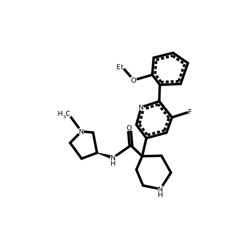 CCOc1ccccc1-c1ncc(C2(C(=O)N[C@H]3CCN(C)C3)CCNCC2)cc1F